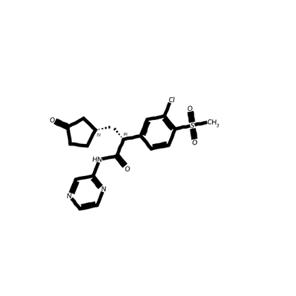 CS(=O)(=O)c1ccc([C@@H](C[C@@H]2CCC(=O)C2)C(=O)Nc2cnccn2)cc1Cl